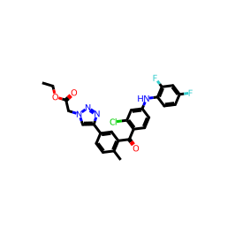 CCOC(=O)Cn1cc(-c2ccc(C)c(C(=O)c3ccc(Nc4ccc(F)cc4F)cc3Cl)c2)nn1